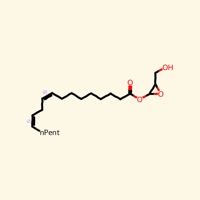 CCCCC/C=C\C/C=C\CCCCCCCC(=O)OC1OC1CO